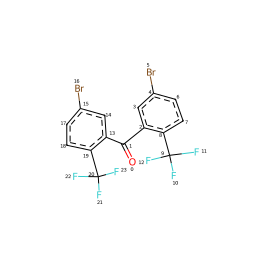 O=C(c1cc(Br)ccc1C(F)(F)F)c1cc(Br)ccc1C(F)(F)F